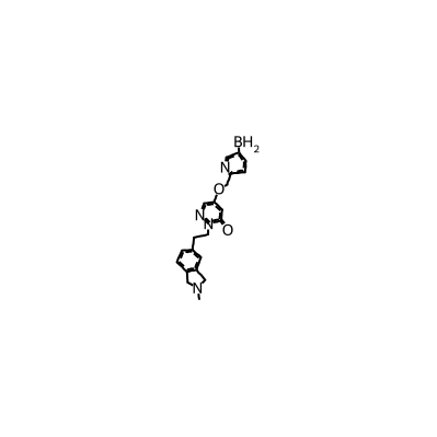 Bc1ccc(COc2cnn(CCc3ccc4c(c3)CN(C)C4)c(=O)c2)nc1